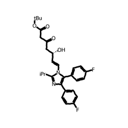 CC(C)c1nc(-c2ccc(F)cc2)c(-c2ccc(F)cc2)n1/C=C/[C@@H](O)CC(=O)CC(=O)OC(C)(C)C